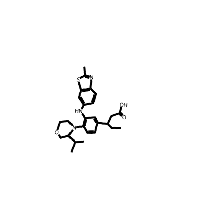 CCC(CC(=O)O)c1ccc(N2CCOCC2C(C)C)c(Nc2ccc3nc(C)sc3c2)c1